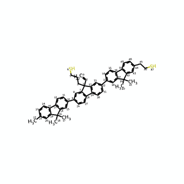 C=CC1(CCCS)c2cc(-c3ccc4c(c3)C(C)(C)c3cc(C)ccc3-4)ccc2-c2ccc(-c3ccc4c(c3)C(C)(C)c3cc(CCS)ccc3-4)cc21